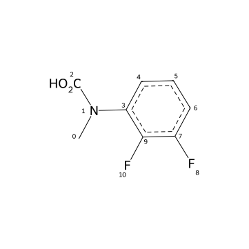 CN(C(=O)O)c1cccc(F)c1F